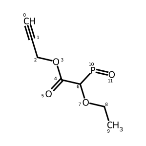 C#CCOC(=O)C(OCC)P=O